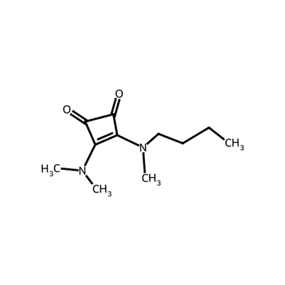 CCCCN(C)c1c(N(C)C)c(=O)c1=O